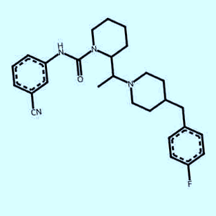 CC(C1CCCCN1C(=O)Nc1cccc(C#N)c1)N1CCC(Cc2ccc(F)cc2)CC1